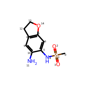 CS(=O)(=O)Nc1cc2c(cc1N)CCO2